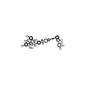 COc1cc(S(=O)(=O)N2CCC3(CC2)CC(C#Cc2cccc4c2CN(C2CCC(=O)NC2=O)C4=O)C3)ccc1NC(=O)[C@@H]1N[C@@H](CC(C)(C)C)[C@@]2(CNc3cc(Cl)ccc32)[C@H]1c1cccc(Cl)c1F